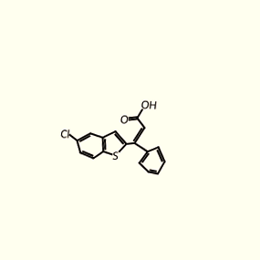 O=C(O)/C=C(/c1ccccc1)c1cc2cc(Cl)ccc2s1